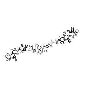 CCC1(C(=O)N(C)[C@H]2C[C@H](Oc3ccc(-c4ccc5c6cnccc6n(C)c5c4)cn3)C2)CC(C)(COCCCCOc2ccc3c(c2)C(=O)N(C2CCC(=O)NC2=O)C3=O)C1